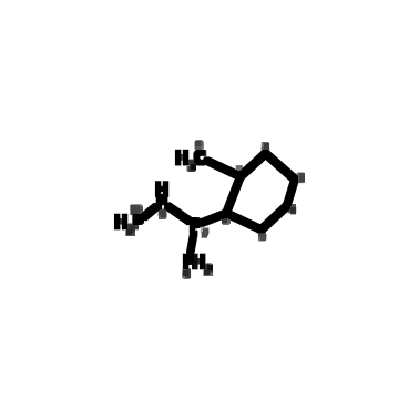 CC1CCCCC1P(P)PP